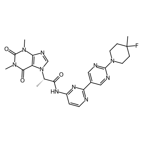 C[C@@H](C(=O)Nc1ccnc(-c2cnc(N3CCC(C)(F)CC3)nc2)n1)n1cnc2c1c(=O)n(C)c(=O)n2C